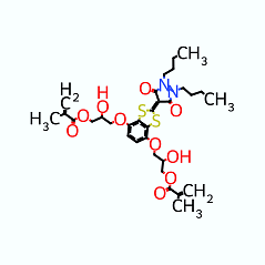 C=C(C)C(=O)OCC(O)COc1ccc(OCC(O)COC(=O)C(=C)C)c2c1SC(=C1C(=O)N(CCCC)N(CCCC)C1=O)S2